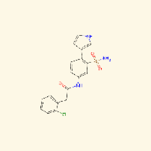 NS(=O)(=O)c1cc(NC(=O)Cc2ccccc2Cl)ccc1-c1cc[nH]c1